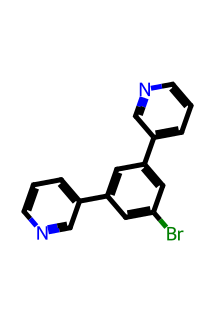 Brc1cc(-c2cccnc2)cc(-c2cccnc2)c1